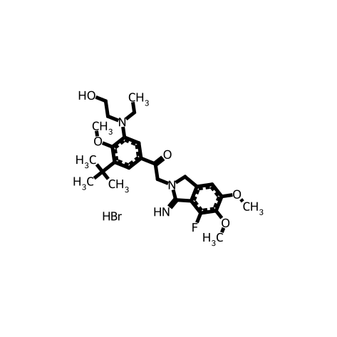 Br.CCN(CCO)c1cc(C(=O)CN2Cc3cc(OC)c(OC)c(F)c3C2=N)cc(C(C)(C)C)c1OC